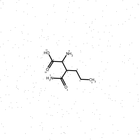 CCCC(C(N)=O)C(N)C(=O)O